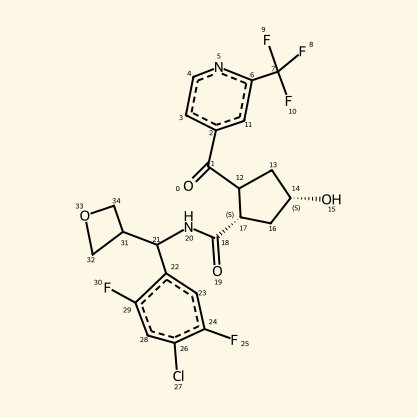 O=C(c1ccnc(C(F)(F)F)c1)C1C[C@H](O)C[C@@H]1C(=O)NC(c1cc(F)c(Cl)cc1F)C1COC1